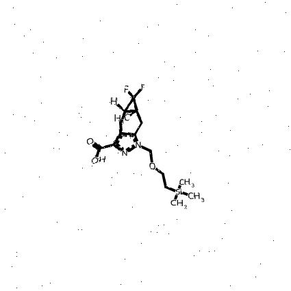 C[C@@]12Cc3c(c(C(=O)O)nn3COCC[Si](C)(C)C)C[C@@H]1C2(F)F